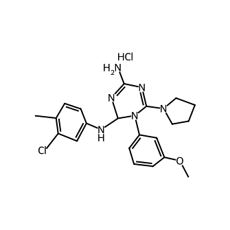 COc1cccc(N2C(N3CCCC3)=NC(N)=NC2Nc2ccc(C)c(Cl)c2)c1.Cl